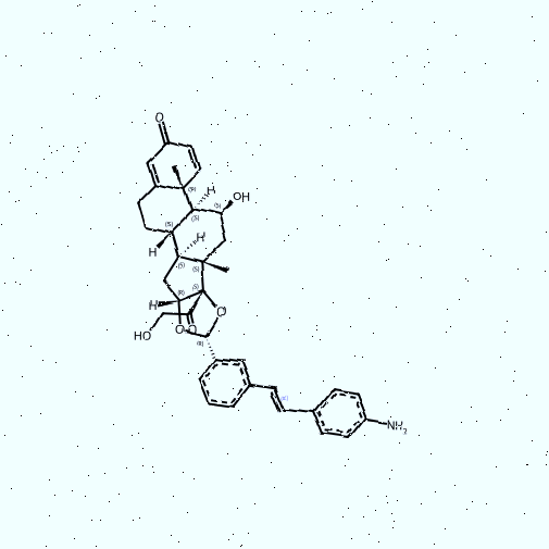 C[C@]12C=CC(=O)C=C1CC[C@@H]1[C@@H]2[C@@H](O)C[C@@]2(C)[C@H]1C[C@H]1O[C@@H](c3cccc(/C=C/c4ccc(N)cc4)c3)O[C@]12C(=O)CO